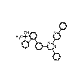 CC1(C)c2ccccc2-c2c(-c3cccc(-c4cc(-c5ccccc5)nc(-c5ccc(-c6ccccc6)nc5)n4)c3)cccc21